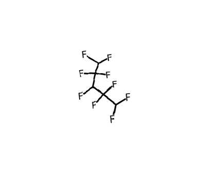 FC(F)C(F)(F)C(F)C(F)(F)C(F)F